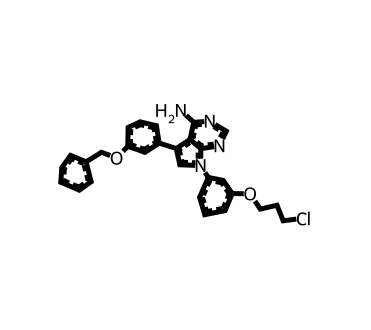 Nc1ncnc2c1c(-c1cccc(OCc3ccccc3)c1)cn2-c1cccc(OCCCCl)c1